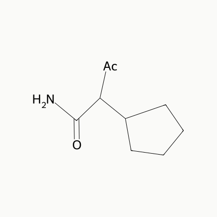 CC(=O)C(C(N)=O)C1CCCC1